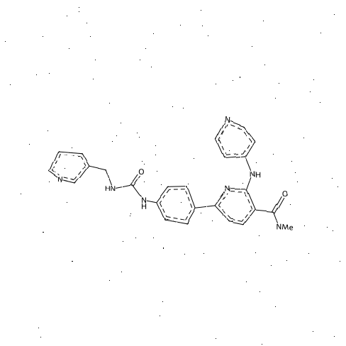 CNC(=O)c1ccc(-c2ccc(NC(=O)NCc3cccnc3)cc2)nc1Nc1ccncc1